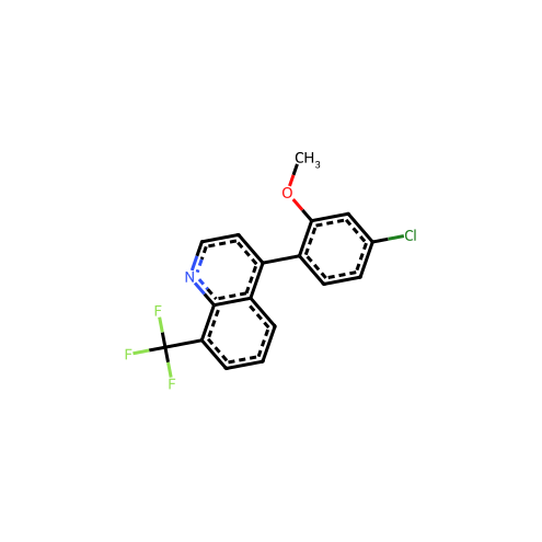 COc1cc(Cl)ccc1-c1ccnc2c(C(F)(F)F)cccc12